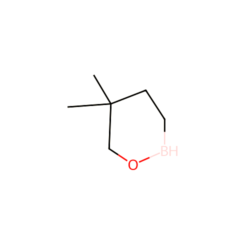 CC1(C)CCBOC1